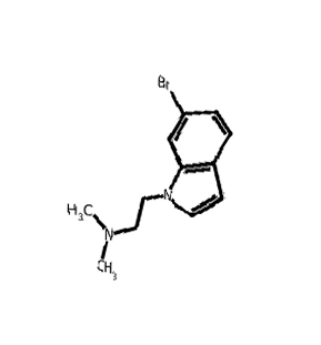 CN(C)CCn1ccc2ccc(Br)cc21